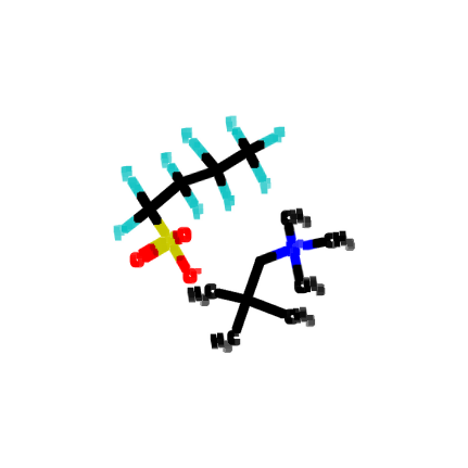 CC(C)(C)C[N+](C)(C)C.O=S(=O)([O-])C(F)(F)C(F)(F)C(F)(F)C(F)(F)F